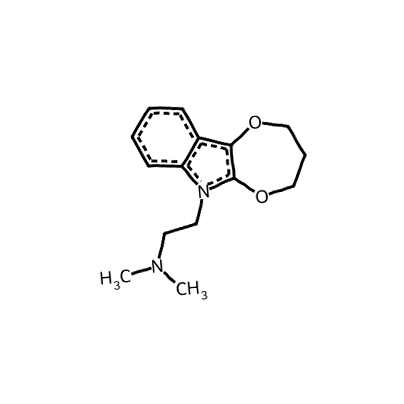 CN(C)CCn1c2c(c3ccccc31)OCCCO2